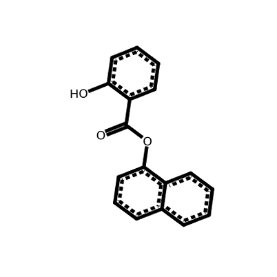 O=C(Oc1cccc2ccccc12)c1ccccc1O